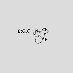 CCOC(=O)Cn1nc(C(F)(F)F)c2c1CCCC2(F)F